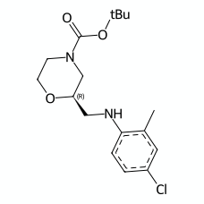 Cc1cc(Cl)ccc1NC[C@@H]1CN(C(=O)OC(C)(C)C)CCO1